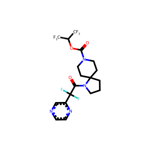 O=C(OC(C(F)(F)F)C(F)(F)F)N1CCC2(CCCN2C(=O)C(F)(F)c2cnccn2)CC1